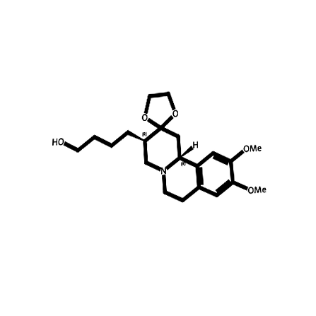 COc1cc2c(cc1OC)[C@H]1CC3(OCCO3)[C@H](CCCCO)CN1CC2